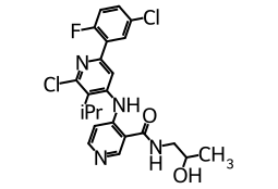 CC(O)CNC(=O)c1cnccc1Nc1cc(-c2cc(Cl)ccc2F)nc(Cl)c1C(C)C